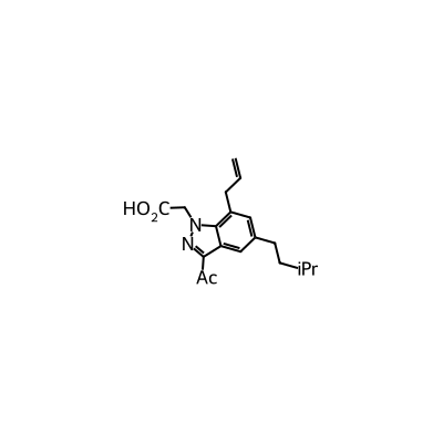 C=CCc1cc(CCC(C)C)cc2c(C(C)=O)nn(CC(=O)O)c12